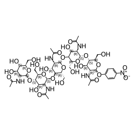 CC(=O)N[C@H]1[C@H](OC2[C@@H](CO)O[C@@H](O[C@H]3[C@H](O)[C@@H](NC(C)=O)[C@H](Oc4ccc([N+](=O)[O-])cc4)O[C@@H]3CO)[C@H](NC(C)=O)[C@H]2O)O[C@H](CO)[C@@H](O[C@@H]2O[C@H](CO)[C@@H](O[C@@H]3O[C@H](CO)[C@@H](O)[C@H](O)[C@H]3NC(C)=O)[C@H](O)[C@H]2NC(C)=O)[C@@H]1O